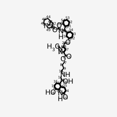 Cn1nc(C(=O)OCCCCNC[C@H](O)c2ccc(O)c3[nH]c(=O)ccc23)cc1COc1cccc([C@@H](NC(=O)O[C@@H]2CC3CCCN(C3)C2)c2ccccc2)c1